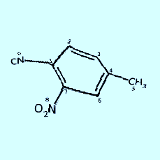 [C-]#[N+]c1ccc(C)cc1[N+](=O)[O-]